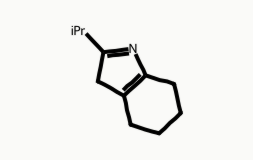 CC(C)C1=NC2=C(CCCC2)C1